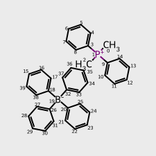 C[P+](C)(c1ccccc1)c1ccccc1.c1ccc([B-](c2ccccc2)(c2ccccc2)c2ccccc2)cc1